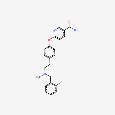 CN(CCc1ccc(Oc2ccc(C(N)=O)cn2)cc1)Cc1ccccc1Cl